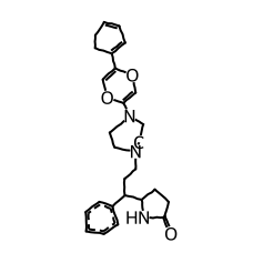 O=C1CCC(C(CCN2CCN(C3=COC(C4=CC=CCC4)=CO3)CC2)c2ccccc2)N1